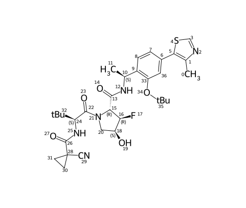 Cc1ncsc1-c1ccc([C@H](C)NC(=O)[C@@H]2[C@@H](F)[C@@H](O)CN2C(=O)[C@@H](NC(=O)C2(C#N)CC2)C(C)(C)C)c(OC(C)(C)C)c1